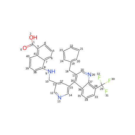 O=C(O)c1cccc2c(NCc3cncc(-c4c(Cc5ccccc5)cnc5c(C(F)(F)F)cccc45)c3)cccc12